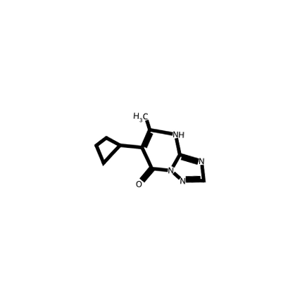 Cc1[nH]c2ncnn2c(=O)c1C1CCC1